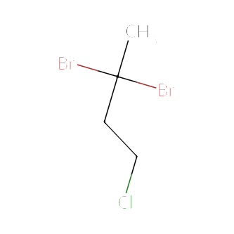 CC(Br)(Br)CCCl